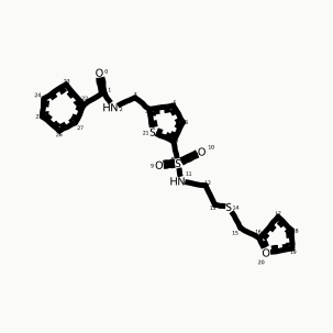 O=C(NCc1ccc(S(=O)(=O)NCCSCc2ccco2)s1)c1ccccc1